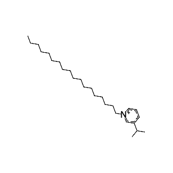 CCCCCCCCCCCCCCCCCC[n+]1cccc(C(C)C)c1